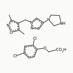 Cc1noc(C)c1Cn1cc(N2CCNC2)cn1.O=C(O)COc1ccc(Cl)cc1Cl